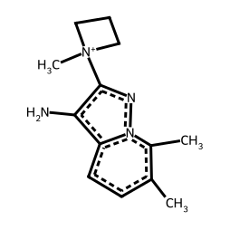 Cc1ccc2c(N)c([N+]3(C)CCC3)nn2c1C